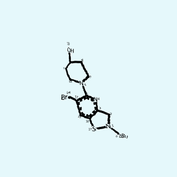 CC(C)(C)N1Cc2nc(N3CCC(O)CC3)c(Br)cc2S1